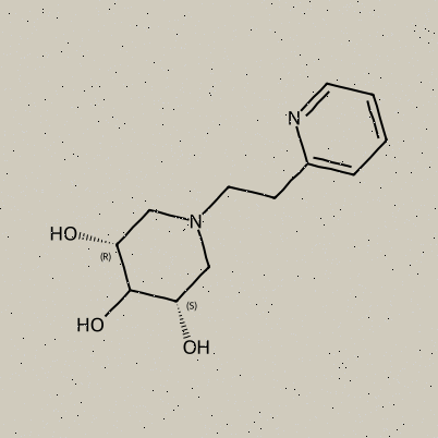 OC1[C@H](O)CN(CCc2ccccn2)C[C@@H]1O